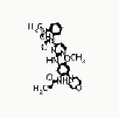 C=CC(=O)Nc1cc(Nc2nccc(N(C=O)c3ccccc3N(C)C)n2)c(OC)cc1N1CCOCC1